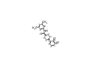 Cc1cc(C)nc(NC(=S)N2CCN(c3cccc(Cl)c3Cl)CC2)c1